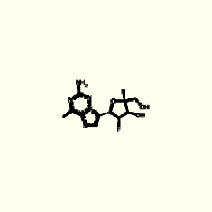 Cc1nc(N)nn2c([C@@H]3O[C@](C)(CO)[C@@H](O)[C@H]3F)cnc12